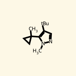 Cn1ncc(C(C)(C)C)c1C1(C)CC1